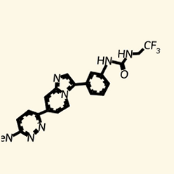 CNc1ccc(-c2ccn3c(-c4cccc(NC(=O)NCC(F)(F)F)c4)cnc3c2)nn1